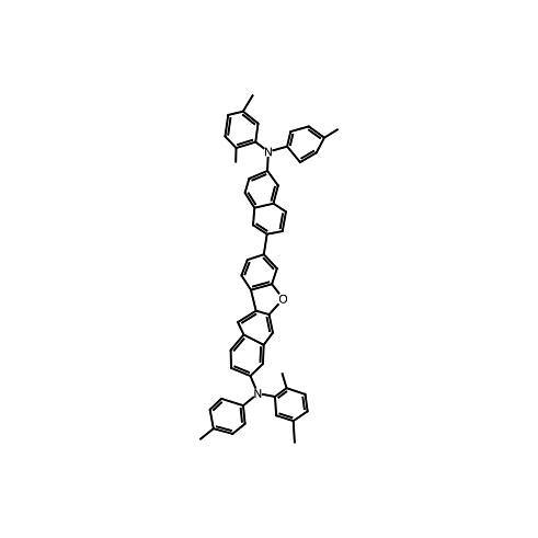 Cc1ccc(N(c2ccc3cc(-c4ccc5c(c4)oc4cc6cc(N(c7ccc(C)cc7)c7cc(C)ccc7C)ccc6cc45)ccc3c2)c2cc(C)ccc2C)cc1